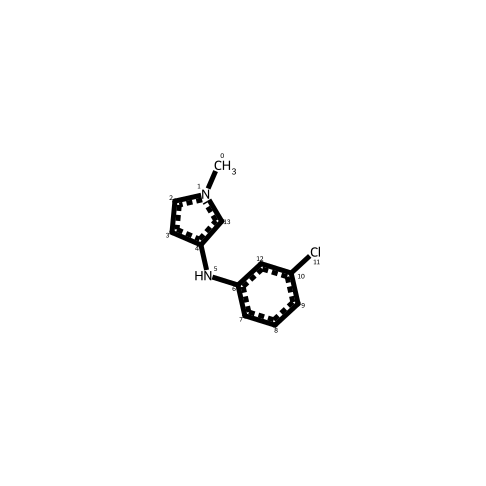 Cn1ccc(Nc2cccc(Cl)c2)c1